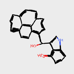 Oc1cccc2[nH]cc(C(O)c3ccc4ccc5cccc6ccc3c4c56)c12